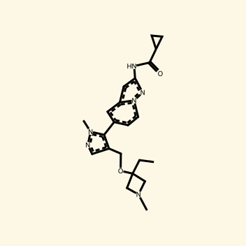 CCC1(OCc2cnn(C)c2-c2ccn3nc(NC(=O)C4CC4)cc3c2)CN(C)C1